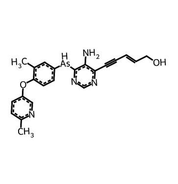 Cc1ccc(Oc2ccc([AsH]c3ncnc(C#CC=CCO)c3N)cc2C)cn1